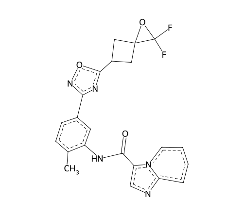 Cc1ccc(-c2noc(C3CC4(C3)OC4(F)F)n2)cc1NC(=O)c1cnc2ccccn12